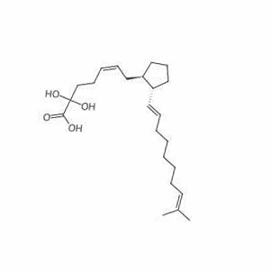 CC(C)=CCCCCC/C=C/[C@H]1CCC[C@@H]1C/C=C\CCC(O)(O)C(=O)O